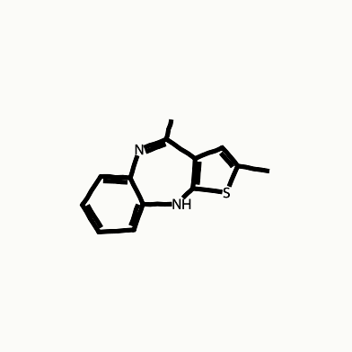 CC1=Nc2ccccc2Nc2sc(C)cc21